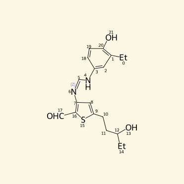 CCc1cc(N/C=N\c2cc(CCC(O)CC)sc2C=O)ccc1O